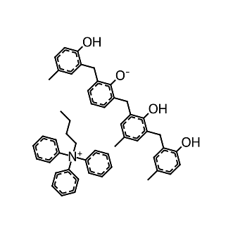 CCCC[N+](c1ccccc1)(c1ccccc1)c1ccccc1.Cc1ccc(O)c(Cc2cccc(Cc3cc(C)cc(Cc4cc(C)ccc4O)c3O)c2[O-])c1